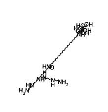 NCCCNCCCCNCC(CCCCCCNC(=O)CCCCCCCCCCCCCCCCCCCCCCCNC(=O)[C@@H](O)[C@@H](O)[C@@H](O)[C@H](O)CO)CNCCCCNCCCN